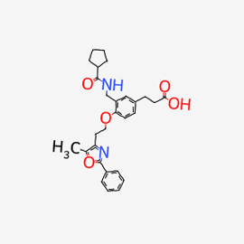 Cc1oc(-c2ccccc2)nc1CCOc1ccc(CCC(=O)O)cc1CNC(=O)C1CCCC1